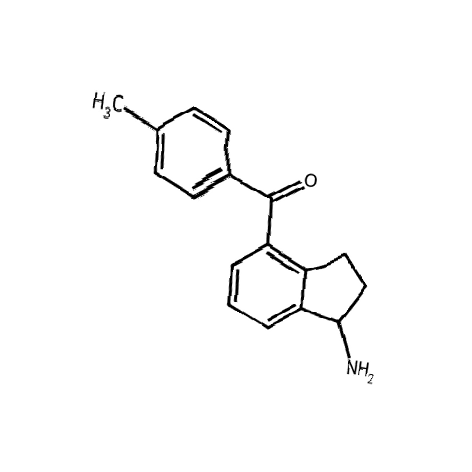 Cc1ccc(C(=O)c2cccc3c2CCC3N)cc1